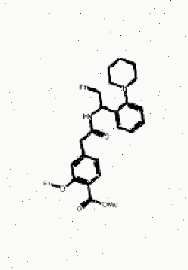 CCOc1cc(CC(=O)NC(CC(C)C)c2ccccc2N2CCCCC2)ccc1C(=O)OC